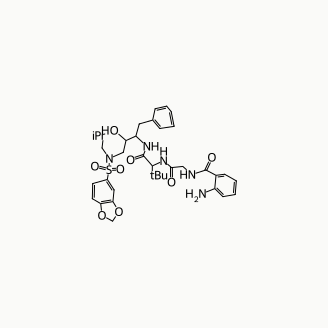 CC(C)CN(CC(O)C(Cc1ccccc1)NC(=O)C(NC(=O)CNC(=O)c1ccccc1N)C(C)(C)C)S(=O)(=O)c1ccc2c(c1)OCO2